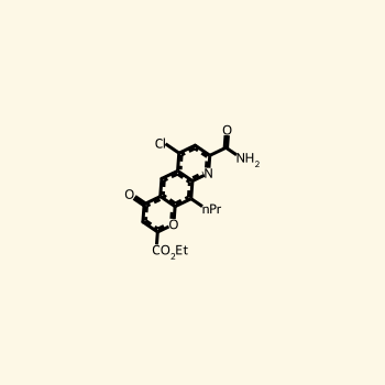 CCCc1c2nc(C(N)=O)cc(Cl)c2cc2c(=O)cc(C(=O)OCC)oc12